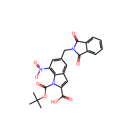 CC(C)(C)OC(=O)n1c(C(=O)O)cc2cc(CN3C(=O)c4ccccc4C3=O)cc([N+](=O)[O-])c21